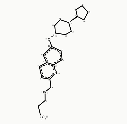 O=C(O)CCNCc1ccc2cc(O[C@H]3CC[C@H](C4CCCC4)CC3)ccc2n1